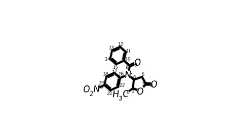 CC1OC(=O)CC1N(C(=O)c1ccccc1)c1ccc([N+](=O)[O-])cc1